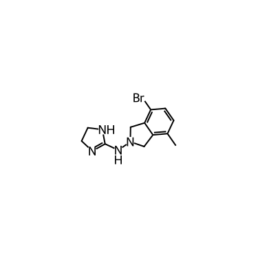 Cc1ccc(Br)c2c1CN(NC1=NCCN1)C2